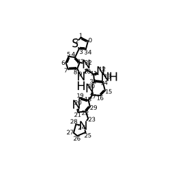 c1csc(-c2cccc3[nH]c(-c4n[nH]c5ccc(-c6cncc(CN7CCCC7)c6)nc45)nc23)c1